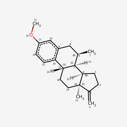 C=C1CC[C@@H]2[C@@H]3[C@H](C)Cc4cc(OC)ccc4[C@H]3CC[C@]12C